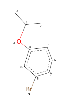 CC(C)Oc1cc[c]c(Br)c1